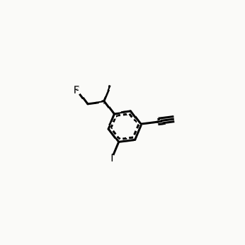 C#Cc1cc(I)cc([C](C)CF)c1